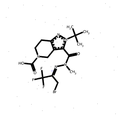 CN(/N=C(\CBr)C(F)(F)F)C(=O)c1c2c(nn1C(C)(C)C)CCN(C(=O)O)C2